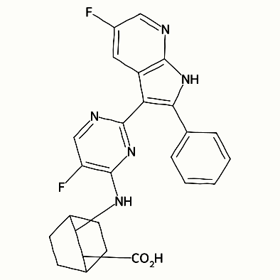 O=C(O)C1C2CCC(CC2)C1Nc1nc(-c2c(-c3ccccc3)[nH]c3ncc(F)cc23)ncc1F